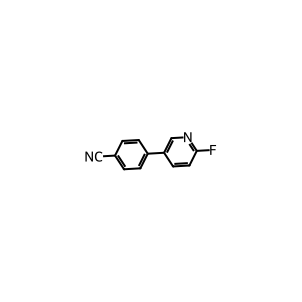 N#Cc1ccc(-c2ccc(F)nc2)cc1